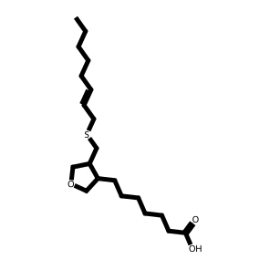 CCCCC/C=C/CSCC1COCC1CCCCCCC(=O)O